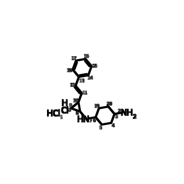 Cl.Cl.NC1CCC(NC2CC2C=Cc2ccccc2)CC1